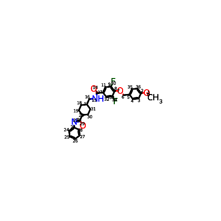 COc1ccc(COc2c(F)cc(C(=O)NCC3CCC(c4nc5ccccc5o4)CC3)cc2F)cc1